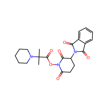 CC(C)(C(=O)ON1C(=O)CCC(N2C(=O)c3ccccc3C2=O)C1=O)N1CCCCC1